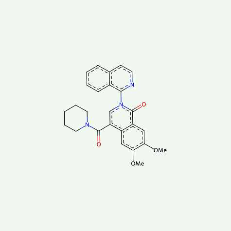 COc1cc2c(C(=O)N3CCCCC3)cn(-c3nccc4ccccc34)c(=O)c2cc1OC